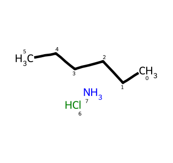 CCCCCC.Cl.N